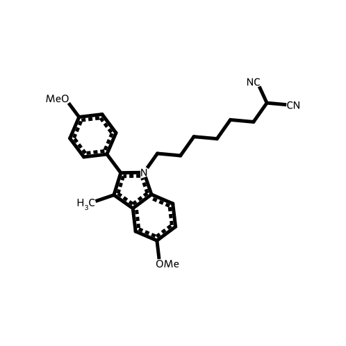 COc1ccc(-c2c(C)c3cc(OC)ccc3n2CCCCCCC(C#N)C#N)cc1